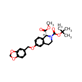 COC(=O)[C@H]1c2ccc(OCc3ccc4c(c3)OCO4)cc2CCN1C(=O)OC(C)(C)C